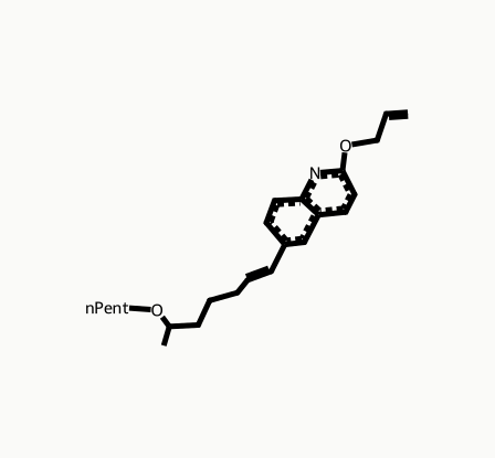 C=CCOc1ccc2cc(/C=C/CCCC(C)OCCCCC)ccc2n1